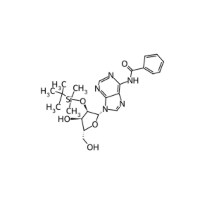 CC(C)(C)[Si](C)(C)O[C@@H]1[C@H](O)[C@@H](CO)O[C@H]1n1cnc2c(NC(=O)c3ccccc3)ncnc21